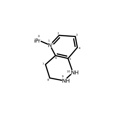 CC(C)[n+]1cccc2c1CCNN2